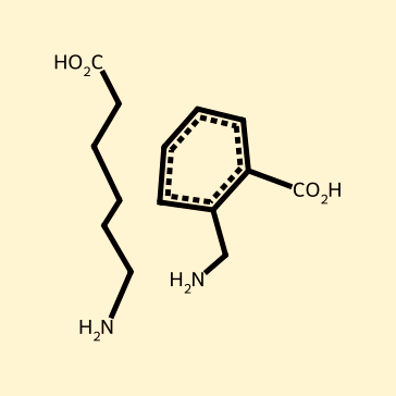 NCCCCCC(=O)O.NCc1ccccc1C(=O)O